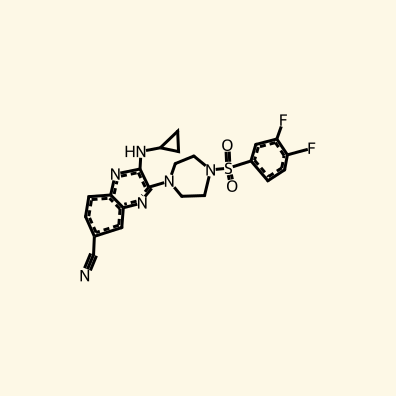 N#Cc1ccc2nc(NC3CC3)c(N3CCN(S(=O)(=O)c4ccc(F)c(F)c4)CC3)nc2c1